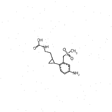 CS(=O)(=O)Cc1cc(N)ccc1C1CC1CCNC(=O)O